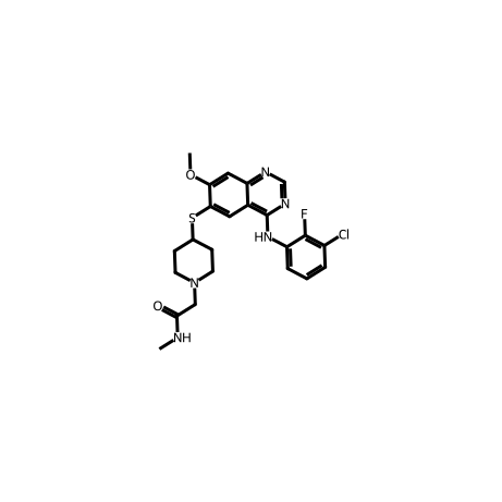 CNC(=O)CN1CCC(Sc2cc3c(Nc4cccc(Cl)c4F)ncnc3cc2OC)CC1